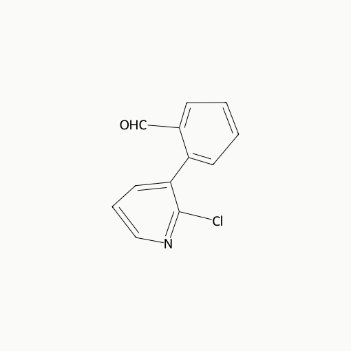 O=Cc1ccccc1-c1cccnc1Cl